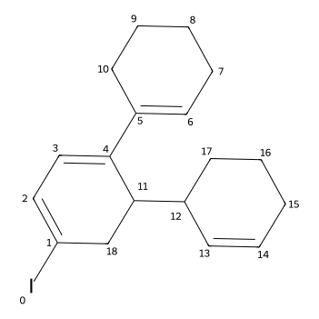 IC1=CC=C(C2=CCCCC2)C(C2C=CCCC2)C1